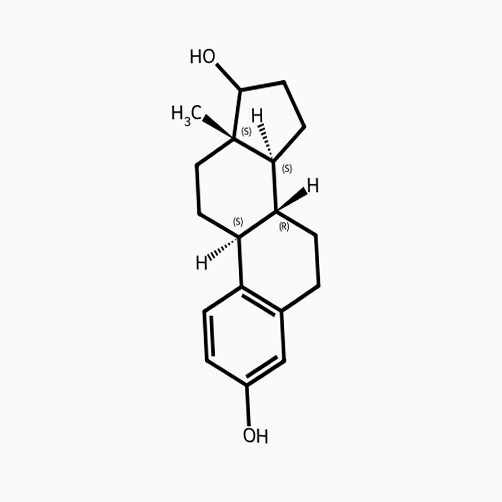 C[C@]12CC[C@@H]3c4ccc(O)cc4CC[C@H]3[C@@H]1CCC2O